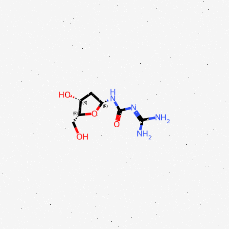 NC(N)=NC(=O)N[C@H]1C[C@@H](O)[C@@H](CO)O1